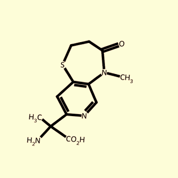 CN1C(=O)CCSc2cc(C(C)(N)C(=O)O)ncc21